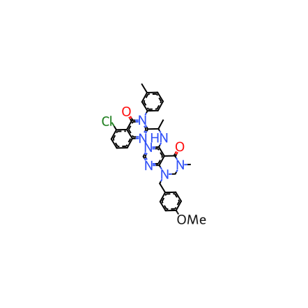 COc1ccc(CN2CN(C)C(=O)c3c(NC(C)c4nc5cccc(Cl)c5c(=O)n4-c4cccc(C)c4)ncnc32)cc1